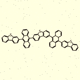 C1=CC2C(c3ccc4c(c3)sc3ccccc34)=c3ccccc3=C(c3ccc4sc5cc(-c6c7ccccc7c(-c7ccc8c(c7)sc7ccccc78)c7ccccc67)ccc5c4c3)C2C=C1